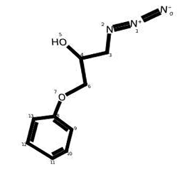 [N-]=[N+]=NCC(O)COc1ccccc1